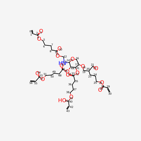 C=CC(=O)OCCCCC(=O)OCNC1OC[C@@H](OCC(C=O)CCCOC(=O)C=C)C(OC(=O)CCCCOC(O)C=C)[C@H]1OC(=O)CCCCOC(=O)C=C